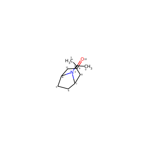 CC(C)N1C2CCC1CC(=O)C2